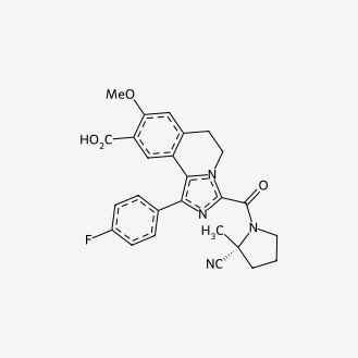 COc1cc2c(cc1C(=O)O)-c1c(-c3ccc(F)cc3)nc(C(=O)N3CCC[C@]3(C)C#N)n1CC2